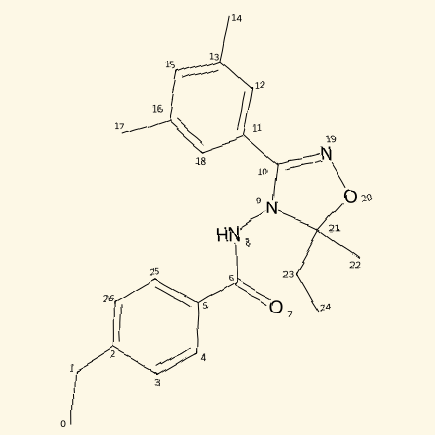 CCc1ccc(C(=O)NN2C(c3cc(C)cc(C)c3)=NOC2(C)CC)cc1